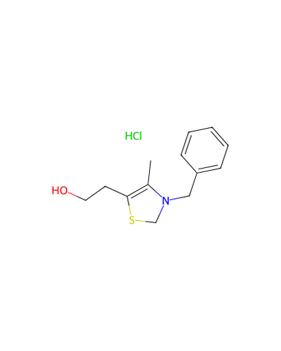 CC1=C(CCO)SCN1Cc1ccccc1.Cl